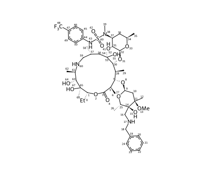 CC[C@H]1OC(=O)[C@H](C)[C@@H](O[C@H]2C[C@@](C)(OC)[C@](O)(CNCc3ccccc3)[C@H](C)O2)[C@H](C)[C@@H](O[C@@H]2O[C@H](C)C[C@H](N(C)S(=O)(=O)Nc3ccc(C(F)(F)F)cc3)[C@H]2O)[C@](C)(O)C[C@@H](C)CN[C@H](C)[C@@H](O)[C@]1(C)O